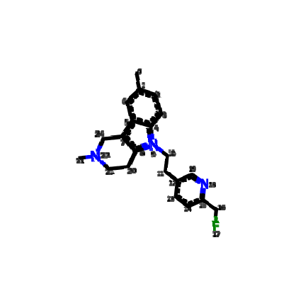 Cc1ccc2c(c1)c1c(n2CCc2ccc(CF)nc2)CCN(C)C1